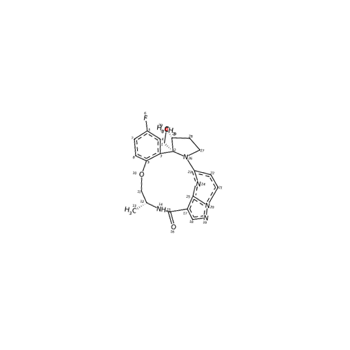 CC[C@@]12c3cc(F)ccc3OC[C@@H](C)NC(=O)c3cnn4ccc(nc34)N1CC[C@H]2C